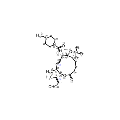 CC[Si](CC)(CC)O[C@]1(C)CCCCC(=O)O[C@H](/C(C)=C/C=O)[C@@H](C)/C=C/[C@@H]1OC(=O)N1CCN(C)CC1